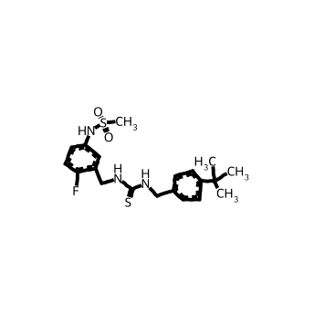 CC(C)(C)c1ccc(CNC(=S)NCc2cc(NS(C)(=O)=O)ccc2F)cc1